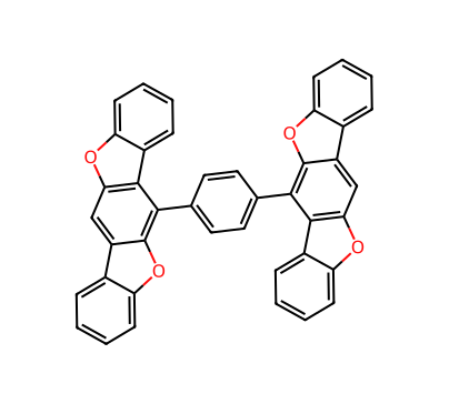 c1ccc2c(c1)oc1c(-c3ccc(-c4c5oc6ccccc6c5cc5oc6ccccc6c45)cc3)c3c(cc12)oc1ccccc13